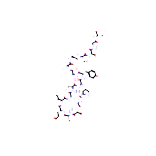 CC[C@H](C)[C@H](NC(=O)[C@H](CCC(=O)O)NC(=O)[C@H](CS)NC(=O)[C@@H](NC(=O)CNC(=O)[C@@H]1CCCN1)[C@@H](C)O)C(=O)NCC(=O)N[C@@H](CS)C(=O)N[C@@H](C)C(=O)N[C@@H](Cc1ccc(O)cc1)C(=O)N[C@@H](C)C(=O)N[C@@H](C)C(=O)N[C@@H](C)C(=O)N[C@@H](CS)C(=O)N[C@H](C(=O)NCC(=O)N[C@@H](CS)C(=O)O)[C@@H](C)O